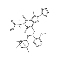 COc1ccccc1C(Cn1c(=O)n(C(C)(C)C(=O)O)c(=O)c2c(C)c(-c3ncco3)sc21)OC1CC2(C)CCC1C(C)(C)O2